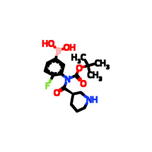 CC(C)(C)OC(=O)N(C(=O)[C@@H]1CCCNC1)c1cc(B(O)O)ccc1F